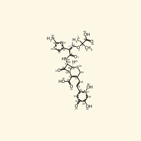 CC(C)(O/N=C(\C(=O)N[C@@H]1C(=O)N2C(C(=O)O)=C(C=Cc3cc(=O)c(O)cn3O)CS[C@H]12)c1csc(N)n1)C(=O)O